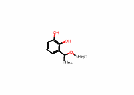 CCCCCCCOC(CCCCCC)c1cccc(O)c1O